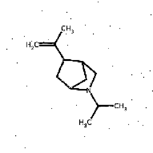 C=C(C)C1CC2CC1CN2C(C)C